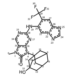 Cn1c(=O)n(C23CC4CC(CC(O)(C4)C2)C3)c2nc(Nc3cn4ncnc4cc3C(F)(F)F)ncc21